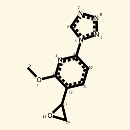 COc1nc(-n2cnnn2)ccc1C1CO1